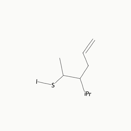 C=CCC(C(C)C)C(C)SI